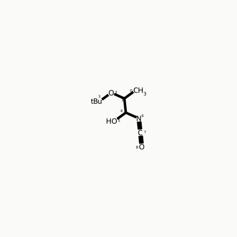 CC(OC(C)(C)C)C(O)N=C=O